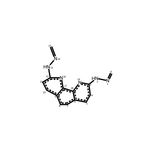 C=NNc1ccc2ccc3ccc(NN=C)nc3c2n1